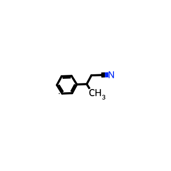 CC(CC#N)c1c[c]ccc1